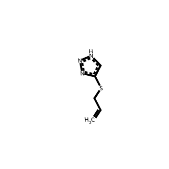 C=CCSc1c[nH]nn1